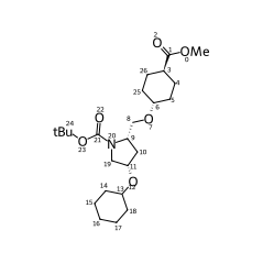 COC(=O)[C@H]1CC[C@H](OC[C@@H]2C[C@H](OC3CCCCC3)CN2C(=O)OC(C)(C)C)CC1